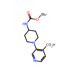 CC(C)(C)OC(=O)NC1CCN(c2cnccc2C(=O)O)CC1